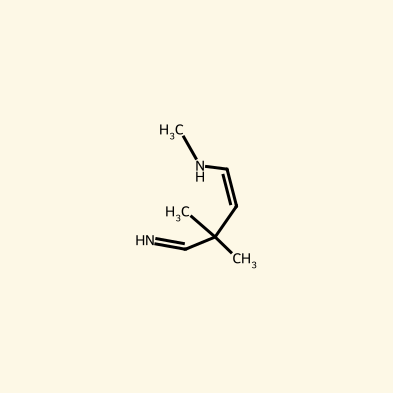 CN/C=C\C(C)(C)C=N